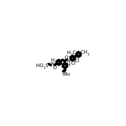 Cc1ccc(-c2ccc(NC(=O)C(Cc3ccc(C(=O)NCCS(=O)(=O)O)cc3)c3ccc(/C=C/C(C)(C)C)cc3)c(Cl)c2Cl)c(C)c1